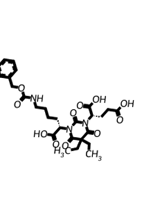 CCC1(CC)C(=O)N([C@@H](CCCCNC(=O)OCc2ccccc2)C(=O)O)C(=O)N([C@@H](CCC(=O)O)C(=O)O)C1=O